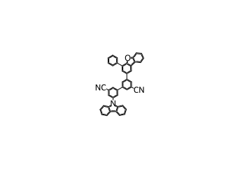 N#Cc1cc(-c2cc(C#N)cc(-n3c4ccccc4c4ccccc43)c2)cc(-c2cc(-c3ccccc3)c3oc4ccccc4c3c2)c1